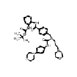 CC(C)(C)OC(=O)Nc1ccccc1NC(=O)c1ccc(CN(CCCN2CCOCC2)C(=O)Nc2ccc(N3CCOCC3)cc2)cc1